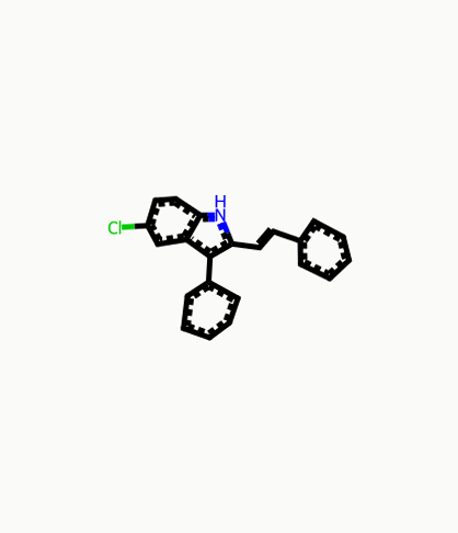 Clc1ccc2[nH]c(/C=C/c3ccccc3)c(-c3ccccc3)c2c1